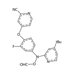 CC(C)(C)c1ccnc(N(O[C]=O)c2ccc(Oc3ccnc(C#N)c3)c(F)c2)c1